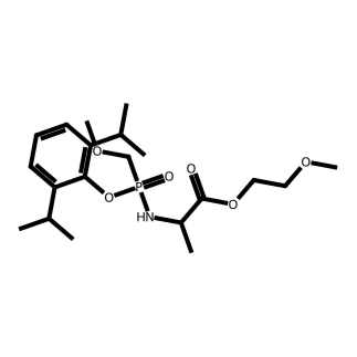 COCCOC(=O)C(C)NP(=O)(COC)Oc1c(C(C)C)cccc1C(C)C